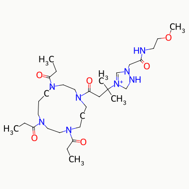 CCC(=O)N1CCCN(C(=O)CC)CCN(C(=O)CC(C)(C)[N+]2=CN(CC(=O)NCCOC)NC2)CCCN(C(=O)CC)CC1